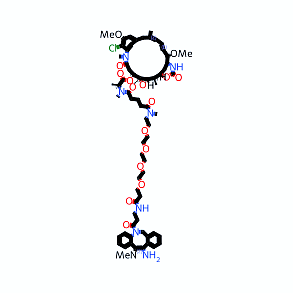 CN/C1=C(\N)c2ccccc2CN(C(=O)CCNC(=O)CCOCCOCCOCCOCCN(C)C(=O)CCCC(=O)N(C)[C@@H](C)C(=O)O[C@H]2CC(=O)N(C)c3cc(cc(OC)c3Cl)C/C(C)=C\C=C\[C@@H](OC)C3C[C@H](OC(=O)N3)[C@@H](C)[C@@H]3O[C@@]23C)c2ccccc21